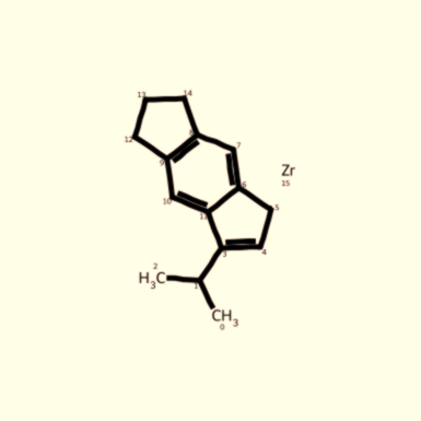 CC(C)C1=C[CH]c2cc3c(cc21)CCC3.[Zr]